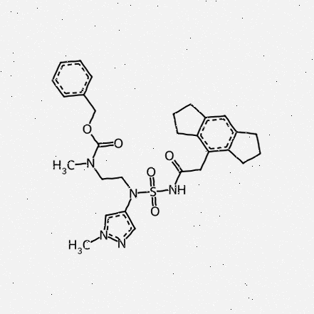 CN(CCN(c1cnn(C)c1)S(=O)(=O)NC(=O)Cc1c2c(cc3c1CCC3)CCC2)C(=O)OCc1ccccc1